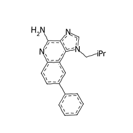 CC(C)Cn1cnc2c(N)nc3ccc(-c4ccccc4)cc3c21